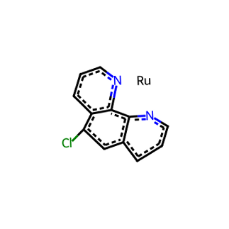 Clc1cc2cccnc2c2ncccc12.[Ru]